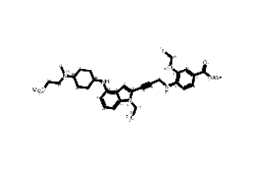 CNC(=O)c1ccc(NCC#Cc2cc3c(NC4CCC(N(C)CCOC)CC4)cccc3n2CC(F)(F)F)c(OCF)c1